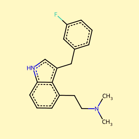 CN(C)CCc1cccc2[nH]cc(Cc3cccc(F)c3)c12